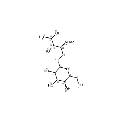 CC(=O)N[C@@H](COC1OC(CO)[C@@H](O)C(O)C1O)[C@H](O)[C@@H](C)O